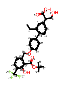 CCc1cc(C(CO)C(=O)O)ccc1-c1ccc(OCc2ccc(C(F)(F)F)c(O)c2C(=O)OC(C)(C)C)cc1